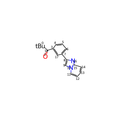 CC(C)(C)C(=O)c1cccc(-c2cn3ccccc3n2)c1